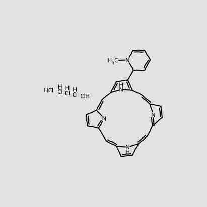 CN1C=CC=CC1c1cc2cc3nc(cc4ccc(cc5nc(cc1[nH]2)C=C5)[nH]4)C=C3.Cl.Cl.Cl.Cl.Cl